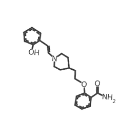 NC(=O)c1ccccc1OCCC1CCN(C=Cc2ccccc2O)CC1